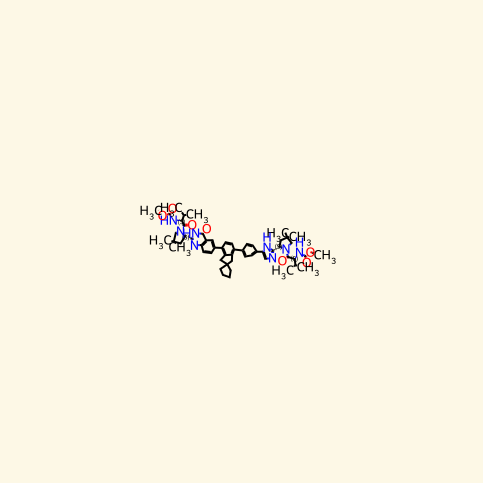 COC(=O)N[C@H](C(=O)N1CC(C)(C)C[C@H]1c1ncc(-c2ccc(-c3ccc(-c4ccc5nc([C@@H]6CC(C)(C)CN6C(=O)[C@@H](NC(=O)OC)C(C)C)[nH]c(=O)c5c4)c4c3CC3(CCCC3)C4)cc2)[nH]1)C(C)C